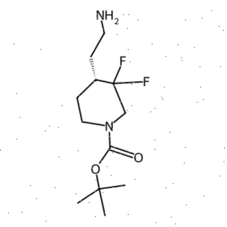 CC(C)(C)OC(=O)N1CC[C@H](CCN)C(F)(F)C1